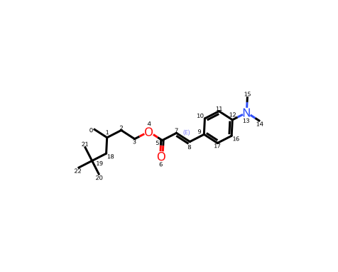 CC(CCOC(=O)/C=C/c1ccc(N(C)C)cc1)CC(C)(C)C